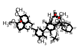 COc1ccc(CN(Cc2ccc(OC)cc2)c2cc(C)c(I)c(-c3c(SC(F)(F)F)cc4c(N5CC6CCC(C5)N6C(=O)OC(C)(C)C)nc(F)nc4c3F)n2)cc1